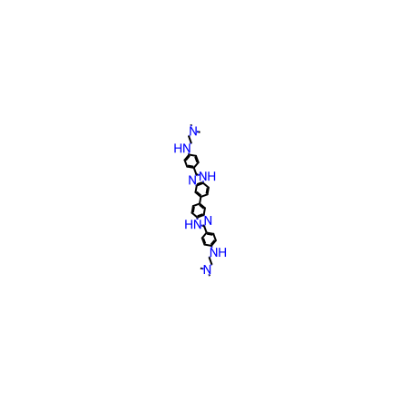 CN(C)CCNc1ccc(-c2nc3cc(-c4ccc5[nH]c(-c6ccc(NCCN(C)C)cc6)nc5c4)ccc3[nH]2)cc1